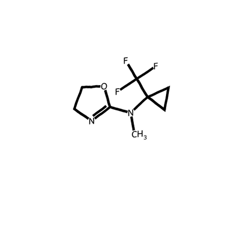 CN(C1=NCCO1)C1(C(F)(F)F)CC1